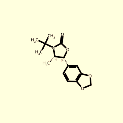 C[C@H]1[C@@H](c2ccc3c(c2)OCO3)OC(=O)N1C(C)(C)C